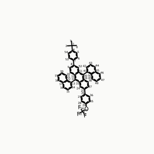 CC(C)(C)c1ccc(-c2ccc3c(-c4cccc5ccccc45)c4cc(-c5ccc(OC(F)(F)F)cc5)ccc4c(-c4cccc5ccccc45)c3c2)cc1